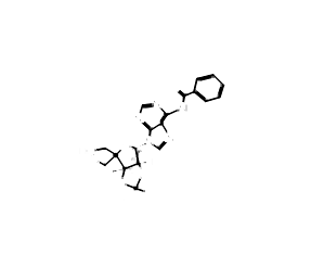 CC1(C)O[C@H]2[C@H](n3cnc4c(NC(=O)c5ccccc5)ncnc43)OC(CO)(CO)[C@H]2O1